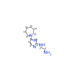 NCCNc1nccc(N2CCCCCC2)n1